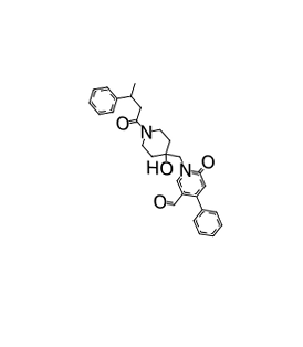 CC(CC(=O)N1CCC(O)(Cn2cc(C=O)c(-c3ccccc3)cc2=O)CC1)c1ccccc1